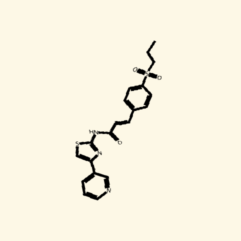 CCCS(=O)(=O)c1ccc(C=CC(=O)Nc2nc(-c3cccnc3)cs2)cc1